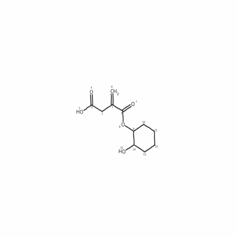 C=C(CC(=O)O)C(=O)OC1CCCCC1O